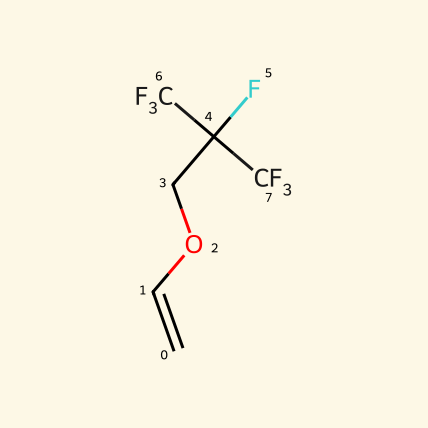 C=COCC(F)(C(F)(F)F)C(F)(F)F